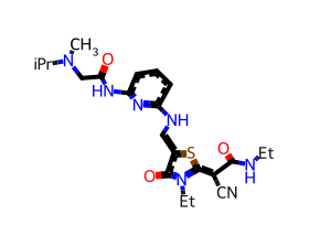 CCNC(=O)C(C#N)=c1sc(=CNc2cccc(NC(=O)CN(C)C(C)C)n2)c(=O)n1CC